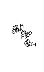 O=CCN(CC(=O)NCCOC1OCCCC1O)CC(=O)NCCOC1OCCCC1O